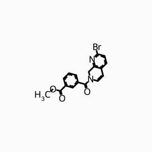 COC(=O)c1cccc(C(=O)N2C=Cc3ccc(Br)nc3C2)c1